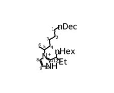 CCCCCCCCCCCCCCC(C)[n+]1cc[nH]c1C(CC)CCCCCC